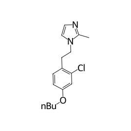 CCCCOc1ccc(CCn2ccnc2C)c(Cl)c1